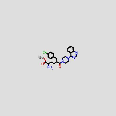 CC(C)(C)OC(=O)C(N)CCC(Cc1ccc(Cl)cc1)C(=O)N1CCN(c2ncnc3ccccc23)CC1